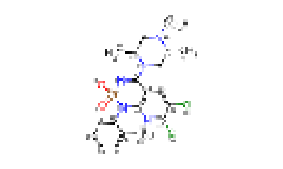 C[C@@H]1CN(C2=NS(=O)(=O)N(c3ccccc3C(C)(C)C)c3nc(Cl)c(Cl)cc32)[C@@H](C)CN1C(=O)O